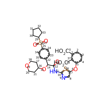 O=C(O)c1cccc(Oc2cnc(NC(=O)C(OC3CCOCC3)c3ccc(S(=O)(=O)C4CCCC4)cc3)s2)c1C(=O)O